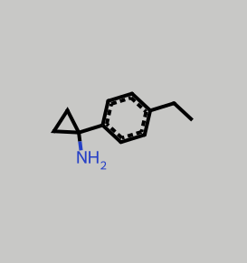 CCc1ccc(C2(N)CC2)cc1